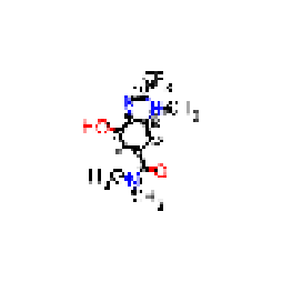 CN(C)C(=O)c1cc(O)c2nc(C(F)(F)F)n(C)c2c1